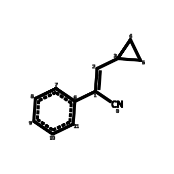 N#CC(=CC1CC1)c1ccccc1